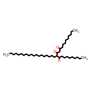 CCCCCCCCCCCCCCCCCCCC(C(=O)CCCCCCCCC)C(=O)CC(=O)CCCCCCCCC